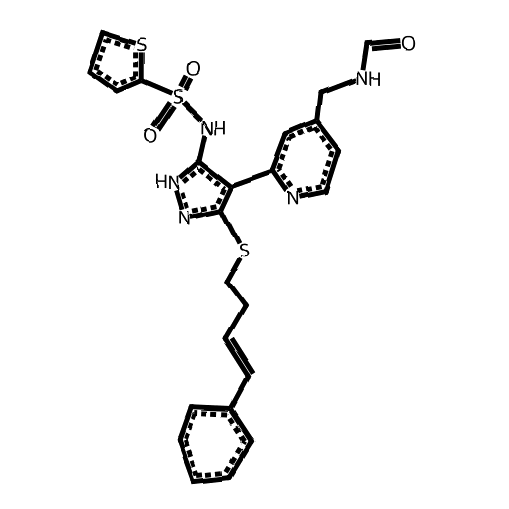 O=CNCc1ccnc(-c2c(SCCC=Cc3ccccc3)n[nH]c2NS(=O)(=O)c2cccs2)c1